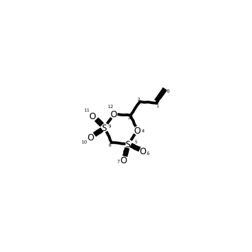 C=CCC1OS(=O)(=O)CS(=O)(=O)O1